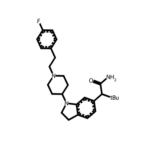 CC(C)(C)C(C(N)=O)c1ccc2c(c1)N(C1CCN(CCc3ccc(F)cc3)CC1)CC2